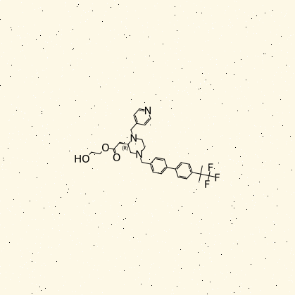 CC(C)(c1ccc(-c2ccc(CN3CCN(Cc4ccncc4)[C@H](CC(=O)OCCO)C3)cc2)cc1)C(F)(F)F